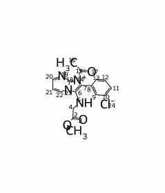 COC(=O)CNc1c(-c2ccccc2)[n+](C(C)=O)c2ncccn12.[Cl-]